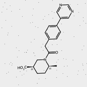 C[C@H]1CC[C@@H](C(=O)O)CN1C(=O)Cc1ccc(-c2cncnc2)cc1